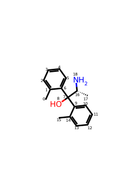 Cc1ccccc1C(O)(c1ccccc1C)[C@@H](C)N